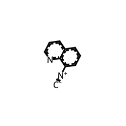 [C-]#[N+]c1cccc2cccnc12